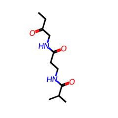 CCC(=O)CNC(=O)CCNC(=O)C(C)C